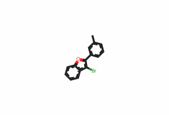 Cc1cccc(-c2oc3ccccc3c2Br)c1